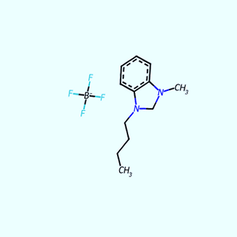 CCCCN1CN(C)c2ccccc21.F[B-](F)(F)F